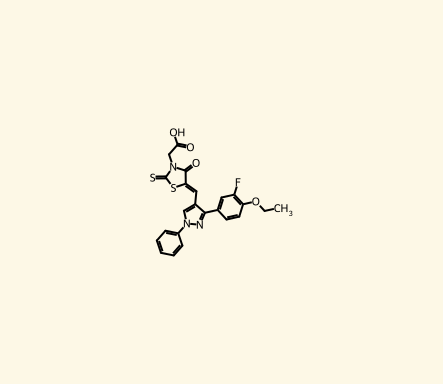 CCOc1ccc(-c2nn(-c3ccccc3)cc2/C=C2\SC(=S)N(CC(=O)O)C2=O)cc1F